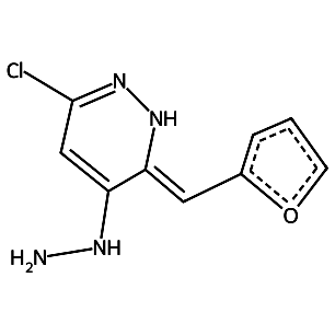 NNC1=CC(Cl)=NNC1=Cc1ccco1